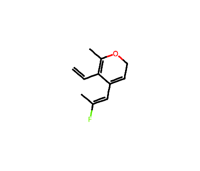 C=CC1=C(C)OCC=C1/C=C(\C)F